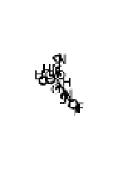 O=C(Cc1csc(C2CCC(F)(F)CC2)n1)NC(Cc1ccccc1)C(O)C(=O)NCc1nccs1